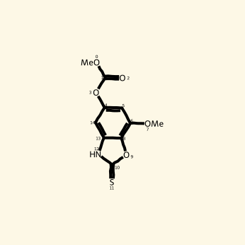 COC(=O)Oc1cc(OC)c2oc(=S)[nH]c2c1